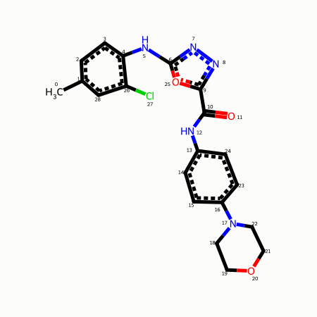 Cc1ccc(Nc2nnc(C(=O)Nc3ccc(N4CCOCC4)cc3)o2)c(Cl)c1